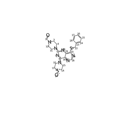 O=CN1CCN(c2nc(N3CC[S+]([O-])CC3)c3ncnc(SCc4ccccc4)c3n2)CC1